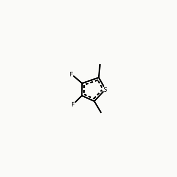 Cc1sc(C)c(F)c1F